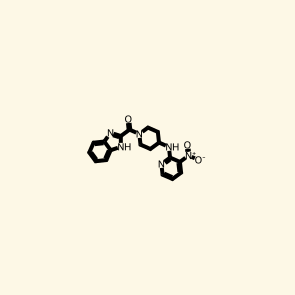 O=C(c1nc2ccccc2[nH]1)N1CCC(Nc2ncccc2[N+](=O)[O-])CC1